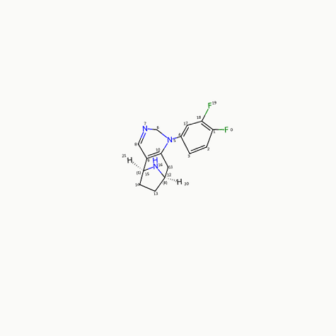 Fc1ccc(N2CN=CC3=C2C[C@H]2CC[C@@H]3N2)cc1F